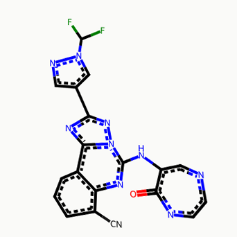 N#Cc1cccc2c1nc(Nc1cnccnc1=O)n1nc(-c3cnn(C(F)F)c3)nc21